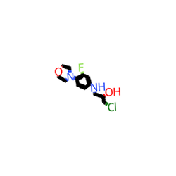 OC(CCl)CNc1ccc(N2CCOCC2)c(F)c1